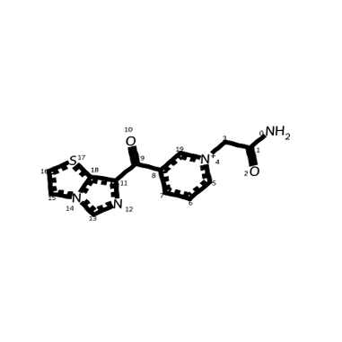 NC(=O)C[n+]1cccc(C(=O)c2ncn3ccsc23)c1